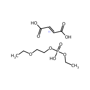 CCOCCOP(=O)(O)OCC.O=C(O)/C=C/C(=O)O